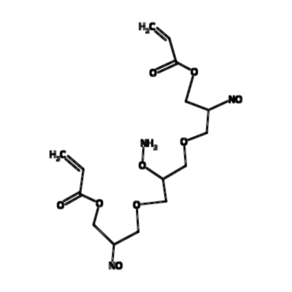 C=CC(=O)OCC(COCC(COCC(COC(=O)C=C)N=O)ON)N=O